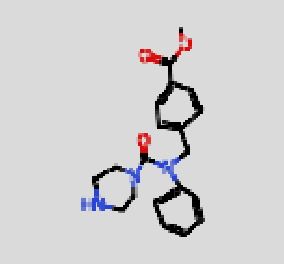 COC(=O)c1ccc(CN(C(=O)N2CCNCC2)c2ccccc2)cc1